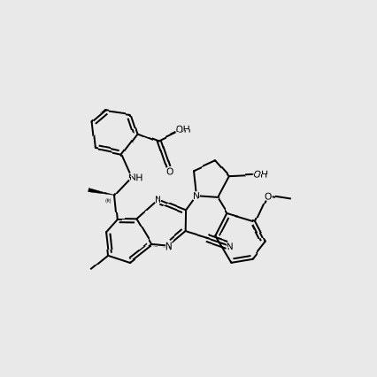 COc1ccccc1C1C(O)CCN1c1nc2c([C@@H](C)Nc3ccccc3C(=O)O)cc(C)cc2nc1C#N